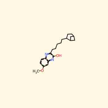 COc1ccc2nc(CCCCCC3CCC4CC3C4)c(O)nc2c1